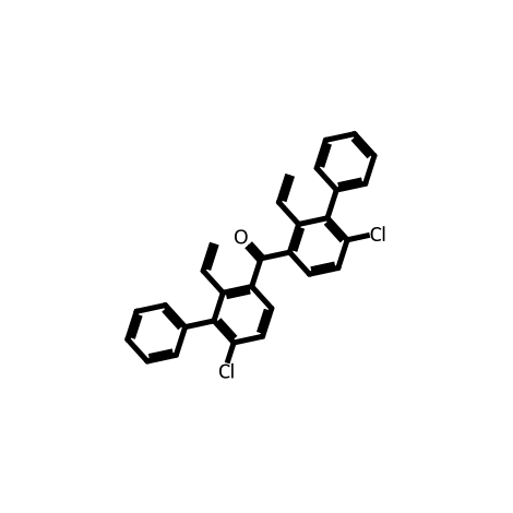 C=Cc1c(C(=O)c2ccc(Cl)c(-c3ccccc3)c2C=C)ccc(Cl)c1-c1ccccc1